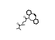 CC(C)C(=O)NCCC(=O)N1Cc2ccccc2C#Cc2ccccc21